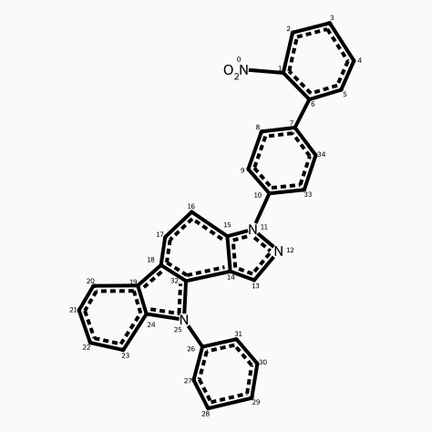 O=[N+]([O-])c1ccccc1-c1ccc(-n2ncc3c2ccc2c4ccccc4n(-c4ccccc4)c23)cc1